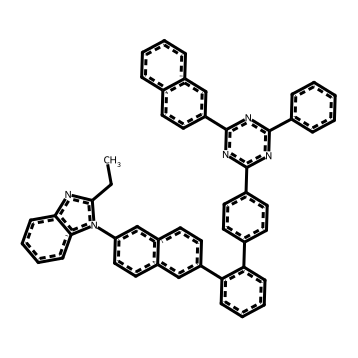 CCc1nc2ccccc2n1-c1ccc2cc(-c3ccccc3-c3ccc(-c4nc(-c5ccccc5)nc(-c5ccc6ccccc6c5)n4)cc3)ccc2c1